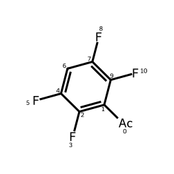 CC(=O)c1c(F)c(F)cc(F)c1F